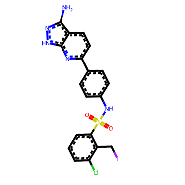 Nc1n[nH]c2nc(-c3ccc(NS(=O)(=O)c4cccc(Cl)c4CI)cc3)ccc12